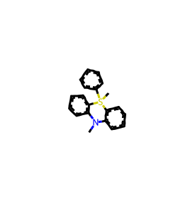 CN1c2ccccc2S(C)(c2ccccc2)c2ccccc21